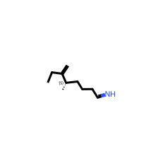 C=C(CC)[C@@H](C)CCCC=N